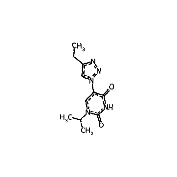 CCc1cn(-c2cn(C(C)C)c(=O)[nH]c2=O)nn1